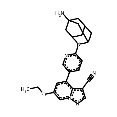 CCOc1cc(-c2ccc(N3C4CC5CC3CC(N)(C5)C4)nc2)c2c(C#N)cnn2c1